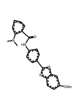 COc1ccc2nc(-c3ccc(NC(=O)c4ccccc4N(C)C)cc3)sc2c1